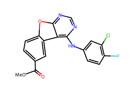 COC(=O)c1ccc2oc3ncnc(Nc4ccc(F)c(Cl)c4)c3c2c1